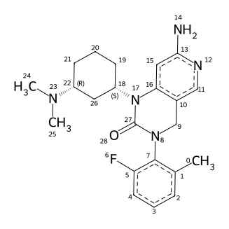 Cc1cccc(F)c1N1Cc2cnc(N)cc2N([C@H]2CCC[C@@H](N(C)C)C2)C1=O